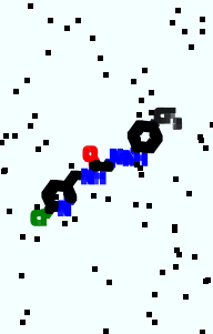 O=C(C=NNc1ccc(C(F)(F)F)cc1)NCc1ccc(Cl)nc1